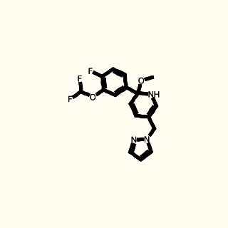 COC1(c2ccc(F)c(OC(F)F)c2)C=CC(Cn2cccn2)=CN1